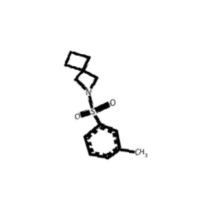 Cc1cccc(S(=O)(=O)N2CC3(CCC3)C2)c1